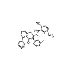 CC(Nc1nc(N)ncc1C#N)c1cc2cccc(-c3ccnnc3)c2c(=O)n1-c1cccc(F)c1